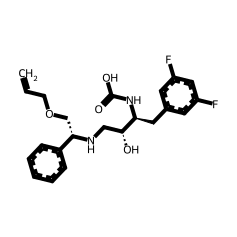 C=CCOC[C@H](NC[C@@H](O)[C@H](Cc1cc(F)cc(F)c1)NC(=O)O)c1ccccc1